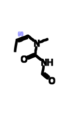 C/C=C\N(C)C(=O)NC=O